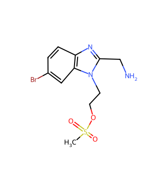 CS(=O)(=O)OCCn1c(CN)nc2ccc(Br)cc21